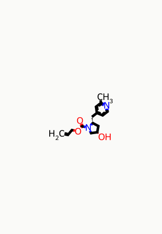 C=CCOC(=O)N1C[C@H](O)C[C@H]1Cc1ccnc(C)c1